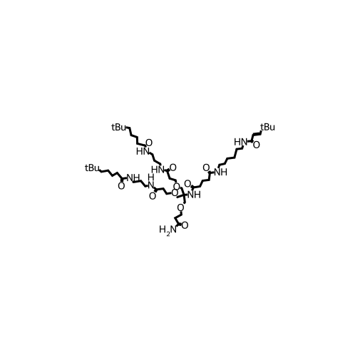 CC(C)(C)/C=C/C(=O)NCCCCCCNC(=O)CCCC(=O)NC(COCCC(N)=O)(COCCC(=O)NCCCNC(=O)CCCCC(C)(C)C)COCCC(=O)NCCCNC(=O)CCCCC(C)(C)C